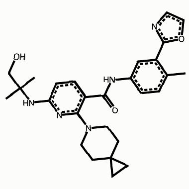 Cc1ccc(NC(=O)c2ccc(NC(C)(C)CO)nc2N2CCC3(CC2)CC3)cc1-c1ncco1